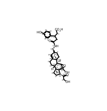 C[C@]12CCC(=NNC(=O)CC(CC(=O)O)c3ccc(O)cc3)C=C1CC[C@H]1[C@@H]3CC[C@H](C(=O)CO)[C@@]34CC(OC4O)[C@@H]12